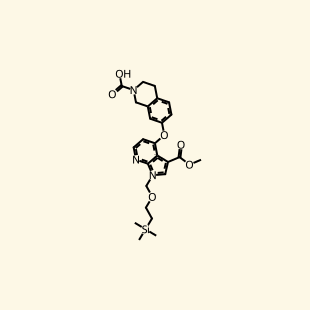 COC(=O)c1cn(COCC[Si](C)(C)C)c2nccc(Oc3ccc4c(c3)CN(C(=O)O)CC4)c12